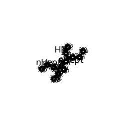 CCCCCCCC1(CCCCCCC)c2cc(N(c3ccc(-c4cccc(-c5ccccc5)c4)cc3)c3ccc4[nH]c5ccccc5c4c3)ccc2-c2c1cc(N(c1ccc(-c3cccc(-c4ccccc4)c3)cc1)c1ccc3sc4ccccc4c3c1)c1ccccc21